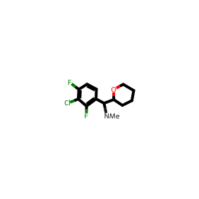 CNC(c1ccc(F)c(Cl)c1F)C1CCCCO1